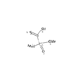 COP(=O)(OC)C(=S)S